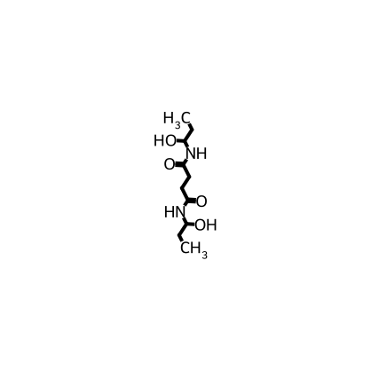 CCC(O)NC(=O)CCC(=O)NC(O)CC